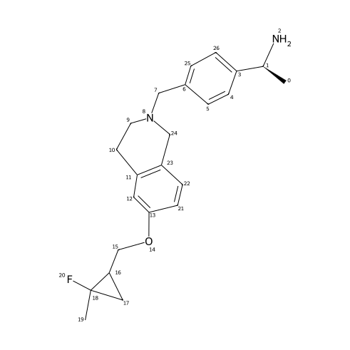 C[C@H](N)c1ccc(CN2CCc3cc(OCC4CC4(C)F)ccc3C2)cc1